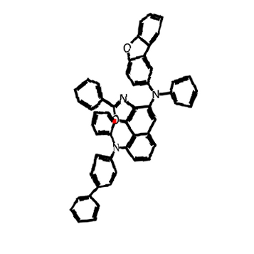 c1ccc(-c2ccc(N(c3ccccc3)c3cccc4cc(N(c5ccccc5)c5ccc6oc7ccccc7c6c5)c5nc(-c6ccccc6)oc5c34)cc2)cc1